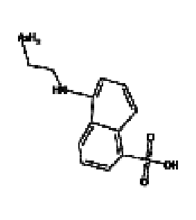 O=S(=O)(O)c1cccc2c(NCC[AsH2])cccc12